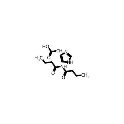 CC(=O)O.CCCC(=O)NC(=O)CCC.c1c[nH]cn1